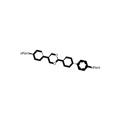 CCCCCc1ccc([C@H]2CC[C@H]([C@H]3OC[C@H]([C@H]4CC[C@H](CCCCC)CC4)CO3)CC2)cc1